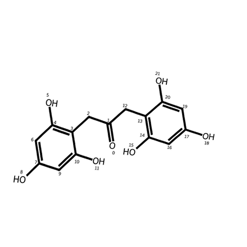 O=C(Cc1c(O)cc(O)cc1O)Cc1c(O)cc(O)cc1O